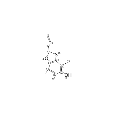 C=CCC1Oc2c(C)c(C)c(O)c(C)c2S1